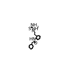 NC(=S)NN=CCc1ccccc1NC(=O)Cc1ccccc1